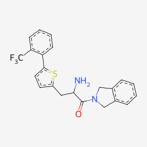 NC(Cc1ccc(-c2ccccc2C(F)(F)F)s1)C(=O)N1Cc2ccccc2C1